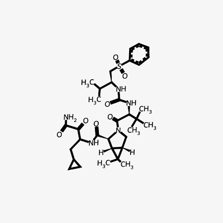 CC(C)[C@@H](CS(=O)(=O)c1ccccc1)NC(=O)N[C@H](C(=O)N1C[C@H]2[C@@H]([C@H]1C(=O)NC(CC1CC1)C(=O)C(N)=O)C2(C)C)C(C)(C)C